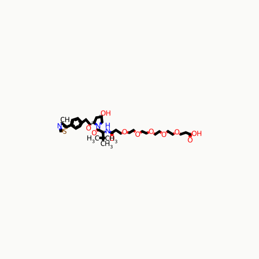 Cc1ncsc1-c1ccc(CC(=O)[C@@H]2C[C@@H](O)CN2C(=O)[C@@H](NC(=O)CCOCCOCCOCCOCCOCCC(=O)O)C(C)(C)C)cc1